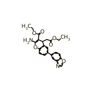 CCOC(=O)CC1C(C(=O)OCC)=C(N)Oc2ccc(-c3ccc4ocnc4c3)cc21